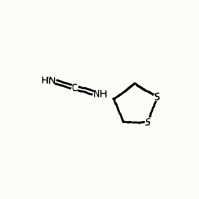 C1CSSC1.N=C=N